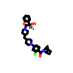 O=C(c1ccc(N2CCC(CC3CCN(C(=O)[C@](O)(c4ccccc4)C(F)(F)F)CC3)CC2)cc1Cl)N1C2CCC23CC13